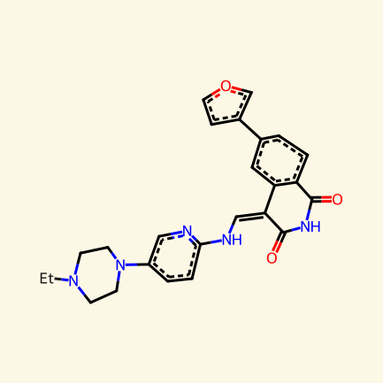 CCN1CCN(c2ccc(N/C=C3\C(=O)NC(=O)c4ccc(-c5ccoc5)cc43)nc2)CC1